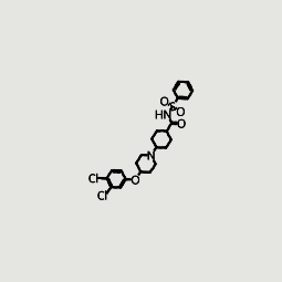 O=C(NS(=O)(=O)c1ccccc1)C1CCC(N2CCC(Oc3ccc(Cl)c(Cl)c3)CC2)CC1